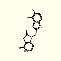 Cc1ccc2[nH]c(CN3C(=S)Cc4c3cc[nH]c4=O)nc2c1C